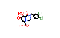 O=C(O)c1cc(=O)c(O)c2n1CCN(Cc1ccc(Cl)c(Cl)c1)C2=O